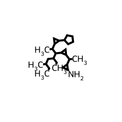 CCC(C)CC(CC)C(C(C)C1CC1C1CCCC1)C1CC1C(C)C1CC1N